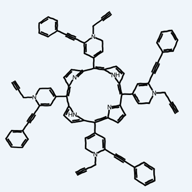 C#CCN1CC=C(c2c3nc(c(C4=CCN(CC#C)C(C#Cc5ccccc5)=C4)c4ccc([nH]4)c(C4=CCN(CC#C)C(C#Cc5ccccc5)=C4)c4nc(c(C5=CCN(CC#C)C(C#Cc6ccccc6)=C5)c5ccc2[nH]5)C=C4)C=C3)C=C1C#Cc1ccccc1